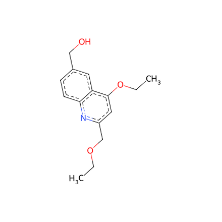 CCOCc1cc(OCC)c2cc(CO)ccc2n1